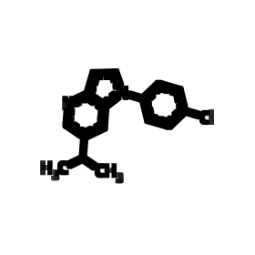 CC(C)c1cnc2ccn(-c3ccc(Cl)cc3)c2c1